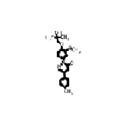 COc1cc(-n2ncc(-c3ccc(C)cc3)cc2=O)ccc1OCC(C)(C)O